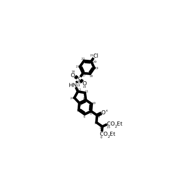 CCOC(=O)C(CC(=O)c1ccc2c(c1)CC(NS(=O)(=O)c1ccc(Cl)cc1)C2)C(=O)OCC